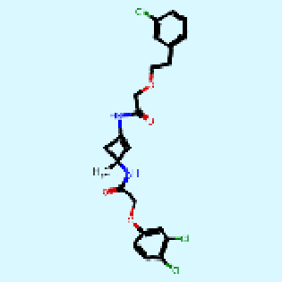 CC1(NC(=O)COc2ccc(Cl)c(Cl)c2)C=C(NC(=O)COCCc2cccc(Cl)c2)C1